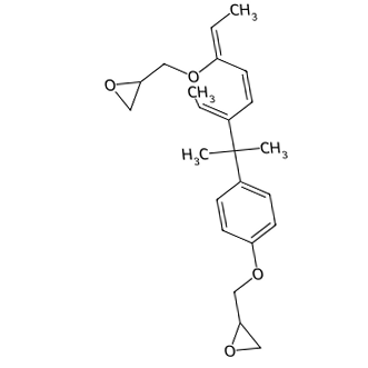 C\C=C(/C=C\C(=C/C)C(C)(C)c1ccc(OCC2CO2)cc1)OCC1CO1